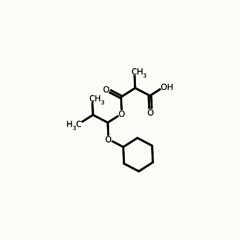 CC(C(=O)O)C(=O)OC(OC1CCCCC1)C(C)C